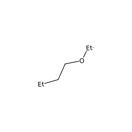 C[CH]OCCCC